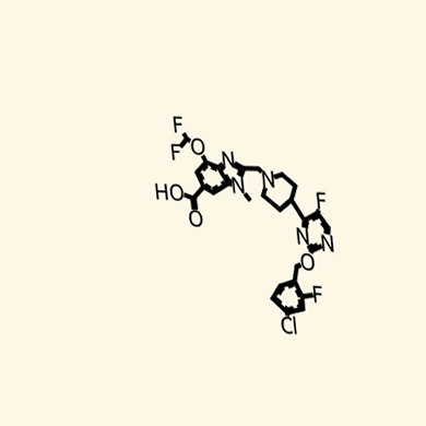 Cn1c(CN2CCC(c3nc(OCc4ccc(Cl)cc4F)ncc3F)CC2)nc2c(OC(F)F)cc(C(=O)O)cc21